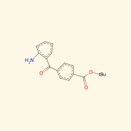 CC(C)(C)OC(=O)c1ccc(C(=O)c2ccccc2N)cc1